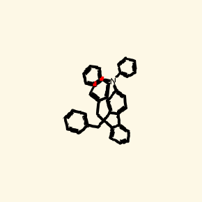 c1ccc(CC2(Cc3ccccc3)c3ccccc3-c3ccc(N(c4ccccc4)c4ccccc4)cc32)cc1